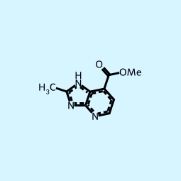 COC(=O)c1ccnc2nc(C)[nH]c12